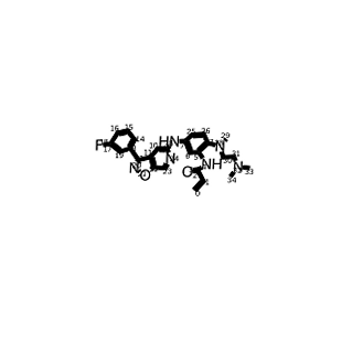 C=CC(=O)Nc1cc(Nc2cc3c(-c4cccc(F)c4)noc3cn2)ccc1N(C)CCN(C)C